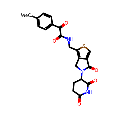 COc1ccc(C(=O)C(=O)NCc2scc3c2CN(C2CCC(=O)NC2=O)C3=O)cc1